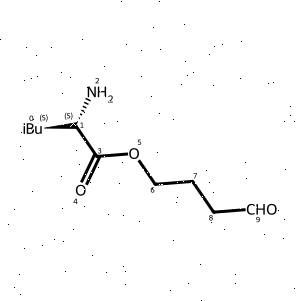 CC[C@H](C)[C@H](N)C(=O)OCCCC=O